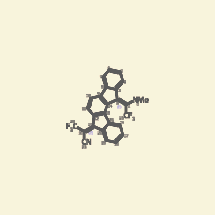 CN/C(=C1\c2ccccc2-c2ccc3c(c21)-c1ccccc1/C3=C(\C#N)C(F)(F)F)C(F)(F)F